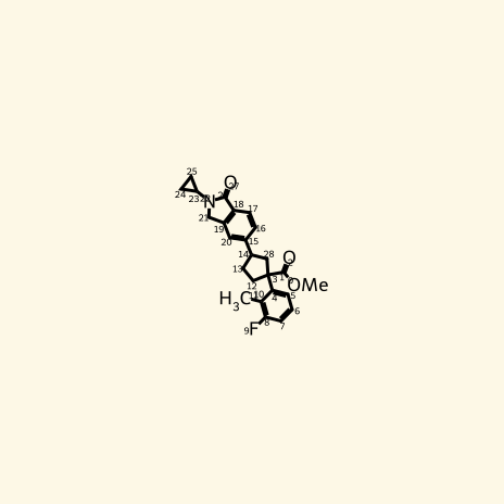 COC(=O)C1(c2cccc(F)c2C)CCC(c2ccc3c(c2)CN(C2CC2)C3=O)C1